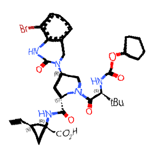 C=C[C@@H]1C[C@]1(NC(=O)[C@@H]1C[C@@H](N2Cc3cccc(Br)c3NC2=O)CN1C(=O)[C@@H](NC(=O)OC1CCCC1)C(C)(C)C)C(=O)O